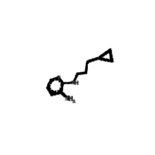 Nc1cccnc1NCCCC1CC1